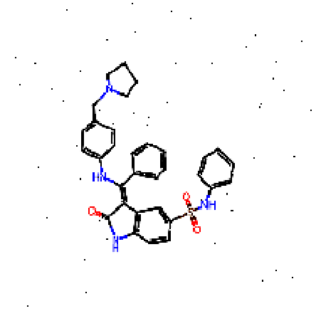 O=C1Nc2ccc(S(=O)(=O)Nc3ccccc3)cc2/C1=C(/Nc1ccc(CN2CCCC2)cc1)c1ccccc1